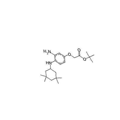 CC1(C)CC(Nc2ccc(OCC(=O)OC(C)(C)C)cc2N)CC(C)(C)C1